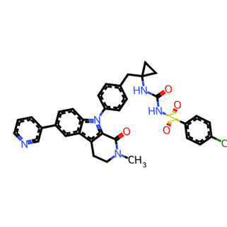 CN1CCc2c(n(-c3ccc(CC4(NC(=O)NS(=O)(=O)c5ccc(Cl)cc5)CC4)cc3)c3ccc(-c4cccnc4)cc23)C1=O